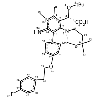 Cc1c([C@H](OC(C)(C)C)C(=O)O)c(N2CCC(C)(C)CC2)c(-c2ccc(OCCc3ccc(F)cc3)cc2)c(=N)n1C